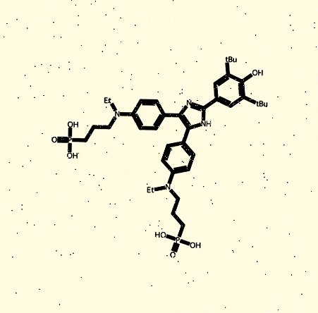 CCN(CCCP(=O)(O)O)c1ccc(-c2nc(-c3cc(C(C)(C)C)c(O)c(C(C)(C)C)c3)[nH]c2-c2ccc(N(CC)CCCP(=O)(O)O)cc2)cc1